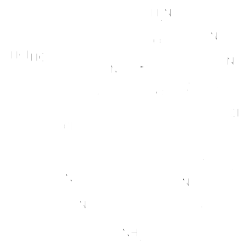 CC(C)(C)OC(=O)N1C2C=C(c3cc(Cl)nnc3N)CC1CC2.Cl.Cl.Nc1nnc(Cl)cc1C1=CC2CCC(C1)N2